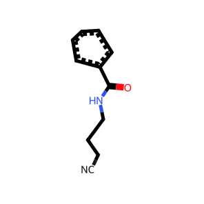 N#CCCCNC(=O)c1ccccc1